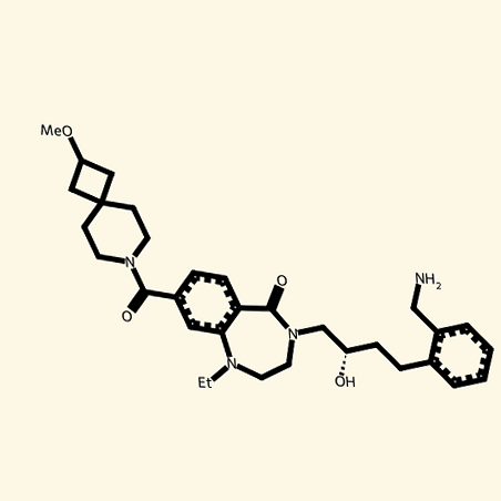 CCN1CCN(C[C@@H](O)CCc2ccccc2CN)C(=O)c2ccc(C(=O)N3CCC4(CC3)CC(OC)C4)cc21